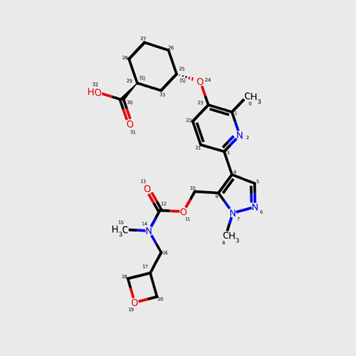 Cc1nc(-c2cnn(C)c2COC(=O)N(C)CC2COC2)ccc1O[C@H]1CCC[C@H](C(=O)O)C1